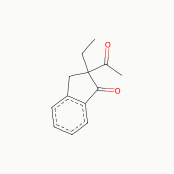 CCC1(C(C)=O)Cc2ccccc2C1=O